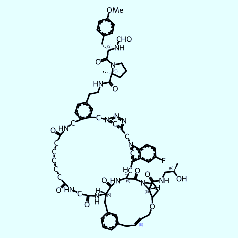 COc1ccc(C[C@H](NC=O)C(=O)N2CCC[C@@]2(C)C(=O)NCCc2ccc3c(c2)Cn2cc(nn2)Cn2cc(c4cc(F)ccc42)C[C@@H]2NC(=O)[C@H](Cc4cccc(c4)C/C=C/COC4CCN(C2=O)[C@@H]4C(=O)NC[C@@H](C)O)NC(=O)CNC(=O)CCCCCC(=O)NC3)cc1